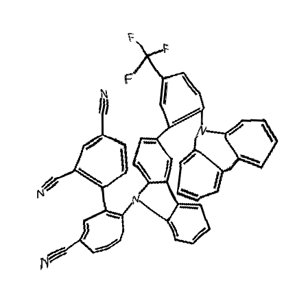 N#Cc1ccc(-c2cc(C#N)ccc2-n2c3ccccc3c3cc(-c4cc(C(F)(F)F)ccc4-n4c5ccccc5c5ccccc54)ccc32)c(C#N)c1